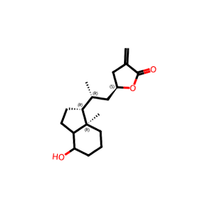 C=C1C[C@H](C[C@@H](C)[C@H]2CCC3C(O)CCC[C@@]32C)OC1=O